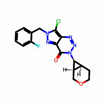 O=c1c2nn(Cc3ccccc3F)c(Cl)c2nnn1[C@@H]1[C@@H]2COCC[C@@H]21